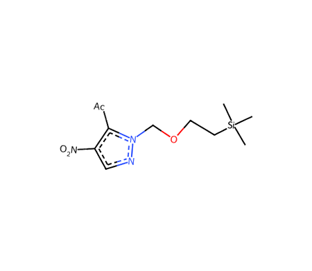 CC(=O)c1c([N+](=O)[O-])cnn1COCC[Si](C)(C)C